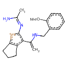 C=C(NCc1ccccc1OC)c1c(/N=C(/C)N)sc2c1CCC2